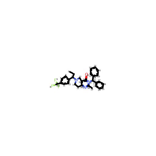 CCC(c1ccc(C(F)(F)F)cc1)N1CCc2nc(C)n(C(c3ccccc3)c3ccccc3)c(=O)c2C1